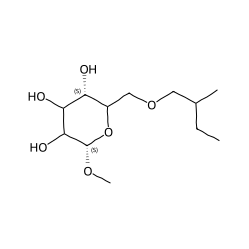 CCC(C)COCC1O[C@H](OC)C(O)C(O)[C@@H]1O